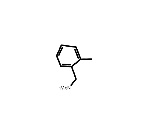 C[N]Cc1ccccc1C